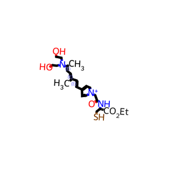 CCOC(=O)C(CS)NC(=O)C[n+]1ccc(/C=C/C(C)=C/C=C(\C)N(CCO)CCO)cc1